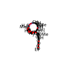 CCOCCOCCOCCOCCNC(=O)O[C@@H]1CC[C@@H](C[C@@H](C)C2C[C@@H](O)[C@H](C)/C=C(\C)[C@@H](O)[C@@H](OC)C(=O)[C@H](C)C[C@H](C)/C=C/C=C/C=C(\C)[C@@H](OC)C[C@@H]3CCCC(=O)C(O)(O3)C(=O)N3CCCC[C@H]3C(=O)O2)C[C@H]1OC